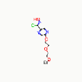 CCOCCOCCOc1cnc(C(Cl)=NO)cn1